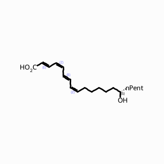 CCCCC[C@H](O)CCCCC\C=C/C=C/C=C\C=C\C(=O)O